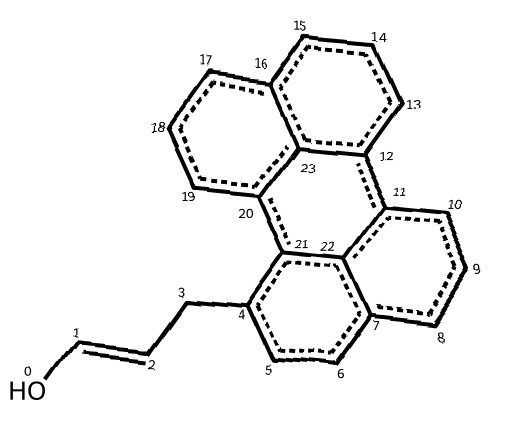 OC=CCc1ccc2cccc3c4cccc5cccc(c1c23)c54